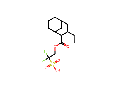 CCC1CC2CCCC(C2)C1C(=O)OCC(F)(F)S(=O)(=O)O